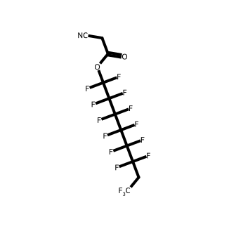 N#CCC(=O)OC(F)(F)C(F)(F)C(F)(F)C(F)(F)C(F)(F)C(F)(F)CC(F)(F)F